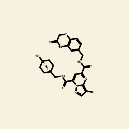 O=C1COc2ccc(CNC(=O)c3cc(C(=O)NCC45CCC(O)(CC4)CC5)n4ncc(F)c4n3)cc2N1